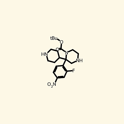 CC(C)(C)OC(=O)N1CCNCC1(c1ccc([N+](=O)[O-])cc1F)C1CCNCC1